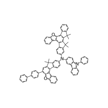 CC1(C)c2cc(N(c3ccc4c(c3)C(C)(C)c3c5c(c6oc7ccccc7c6c3-4)-c3ccccc3C5(C)C)c3ccc4c(c3)c3ccccc3n4-c3ccccc3)ccc2-c2c1cc(-c1ccc(-c3ccccc3)cc1)c1oc3ccccc3c21